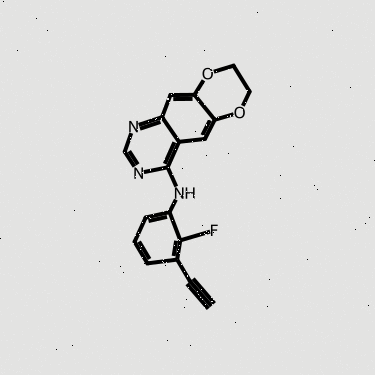 C#Cc1cccc(Nc2ncnc3cc4c(cc23)OCCO4)c1F